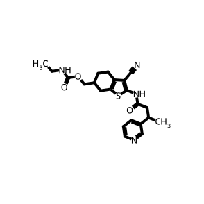 CCNC(=O)OCC1CCc2c(sc(NC(=O)CC(C)c3cccnc3)c2C#N)C1